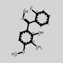 COc1ccc(C(=NO)c2ccccc2F)c(O)c1C